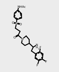 CC(=O)Nc1ccc(S(=O)(=O)CCC(=O)N2CCC(C(N)Cc3cc(F)c(F)cc3F)CC2)cc1